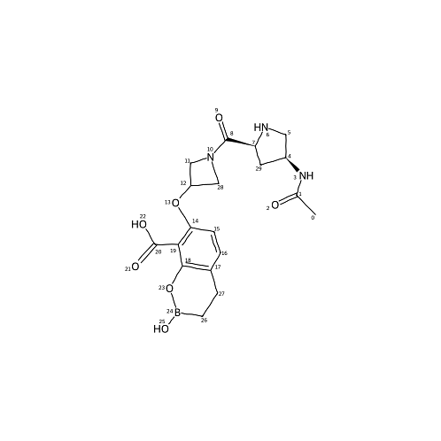 CC(=O)N[C@@H]1CN[C@H](C(=O)N2CC(Oc3ccc4c(c3C(=O)O)OB(O)CC4)C2)C1